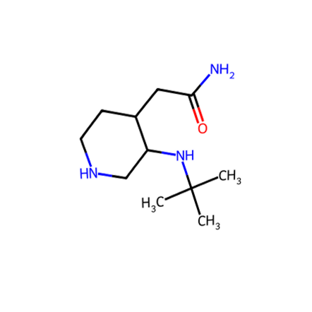 CC(C)(C)NC1CNCCC1CC(N)=O